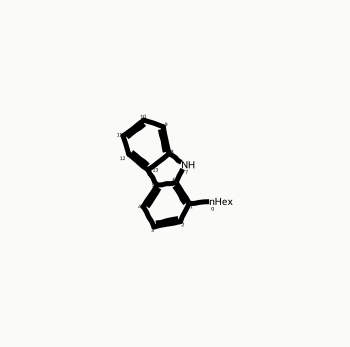 CCCCCCc1cccc2c1[nH]c1ccccc12